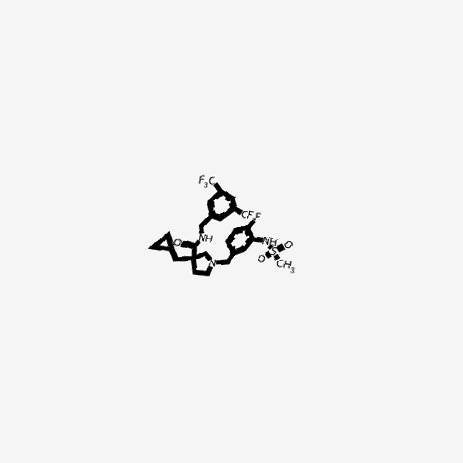 CS(=O)(=O)Nc1cc(CN2CCC(CC3CC3)(C(=O)NCc3cc(C(F)(F)F)cc(C(F)(F)F)c3)C2)ccc1F